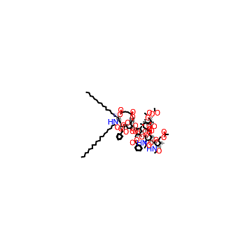 CCCCCCCCCCCCC/C=C/[C@H]1OC(=O)CCC(=O)OC[C@@H]2O[C@@H](OC[C@@H]1NC(=O)CCCCCCCCCCCCCCCCC)C(OC(=O)c1ccccc1)C(O)[C@@H]2O[C@@H]1OC(COC(=O)c2ccccc2)[C@H](O[C@@H]2OC(COC(C)=O)[C@H](C)[C@H](O[C@@H]3OC(COC(C)=O)[C@H](C)[C@H](C)C3NC(C)=O)C2NC(C)=O)[C@H](O[C@]2(C(=O)OC)CC(C)[C@@H](C)[C@H]([C@H](C)[C@@H](COC(C)=O)OC(C)=O)O2)C1C